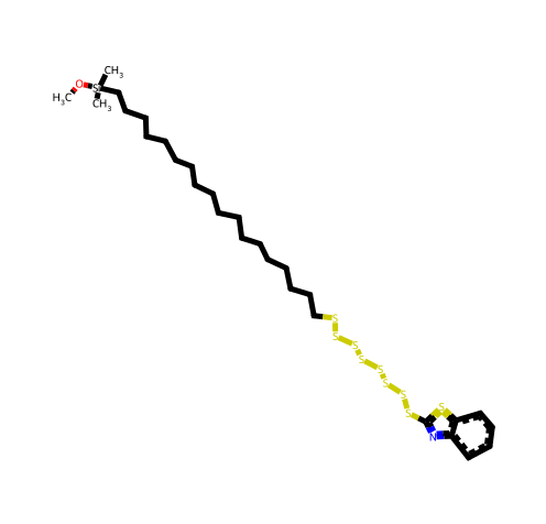 CO[Si](C)(C)CCCCCCCCCCCCCCCCCCSSSSSSSSc1nc2ccccc2s1